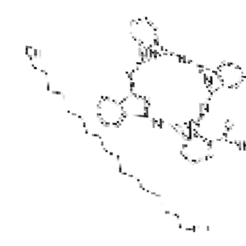 CCCCCCCCCCCCCCCCC[CH2][Cu].NC(=O)c1cccc2c3nc4nc(nc5[nH]c(nc6nc(nc([nH]3)c12)-c1ccccc1-6)c1ccccc51)-c1ccccc1-4